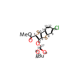 COC(=O)c1sc2c(sc3cc(Cl)ccc32)c1OCC(=O)OC(C)(C)C